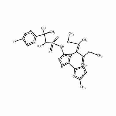 C=C(OC)/C(=C(\C)OC)n1c(NS(=O)(=O)[C@@H](C)[C@@](C)(O)c2ncc(F)cn2)nnc1-c1ccc(C)o1